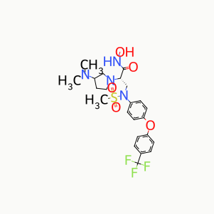 CN(C)C1CCN([C@@H](CN(c2ccc(Oc3ccc(C(F)(F)F)cc3)cc2)S(C)(=O)=O)C(=O)NO)C1